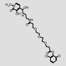 Cn1ccc(C(O)NCCNC(=O)CCOCCOCCOCCC(=O)Oc2c(Cl)cccc2Cl)c(O)c1=O